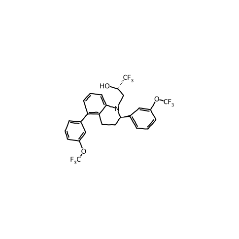 O[C@@H](CN1c2cccc(-c3cccc(OC(F)(F)F)c3)c2CC[C@@H]1c1cccc(OC(F)(F)F)c1)C(F)(F)F